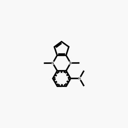 CB1C2=C(C=CC2)N(C)c2cccc(N(C)C)c21